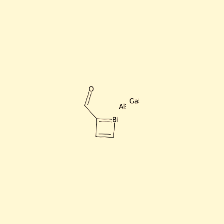 O=C[C]1=[Bi][CH]=C1.[Al].[Ga]